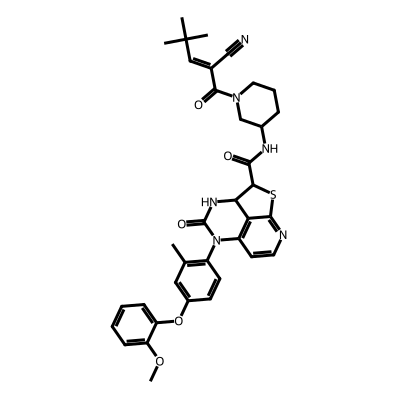 COc1ccccc1Oc1ccc(N2C(=O)NC3c4c2ccnc4SC3C(=O)NC2CCCN(C(=O)/C(C#N)=C/C(C)(C)C)C2)c(C)c1